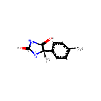 CC(C)[C@@]1(c2ccc(C(=O)O)cc2)NC(=O)NC1=O